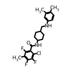 Cc1ccc(NCC2CCC(NC(=O)c3c(F)c(C)c(F)c(F)c3Cl)CC2)cc1C